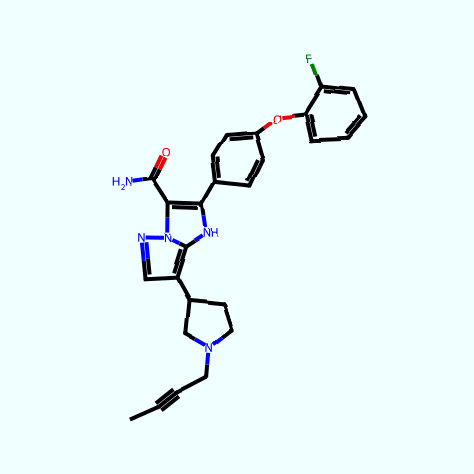 CC#CCN1CCC(c2cnn3c(C(N)=O)c(-c4ccc(Oc5ccccc5F)cc4)[nH]c23)C1